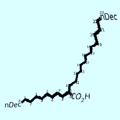 CCCCCCCCCCCCCCCC=CC=C(CCCCCCCCCCCCCCCCCCCCCCC)C(=O)O